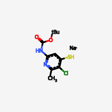 Cc1nc(NC(=O)OC(C)(C)C)cc(S)c1Cl.[Na]